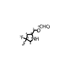 O=COCC1CC(F)(F)CN1